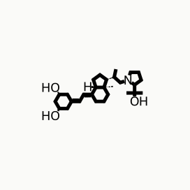 CC(CN1CCCC1C(C)(C)O)[C@H]1CC[C@H]2C(=CC=C3C[C@@H](O)C[C@H](O)C3)CCC[C@]12C